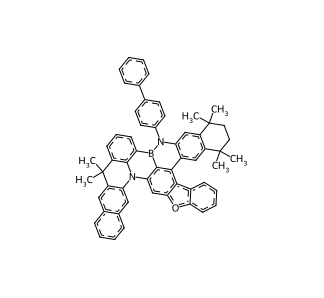 CC1(C)CCC(C)(C)c2cc3c(cc21)-c1c2c(cc4oc5ccccc5c14)N1c4cc5ccccc5cc4C(C)(C)c4cccc(c41)B2N3c1ccc(-c2ccccc2)cc1